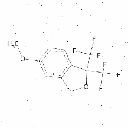 COc1ccc2c(c1)COC2(C(F)(F)F)C(F)(F)F